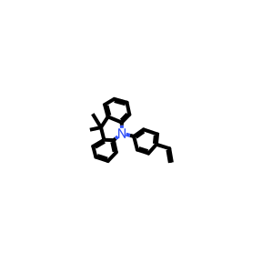 C=Cc1ccc(N2c3ccccc3C(C)(C)c3ccccc32)cc1